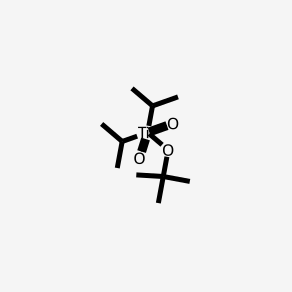 C[CH](C)[Ti](=[O])(=[O])([O]C(C)(C)C)[CH](C)C